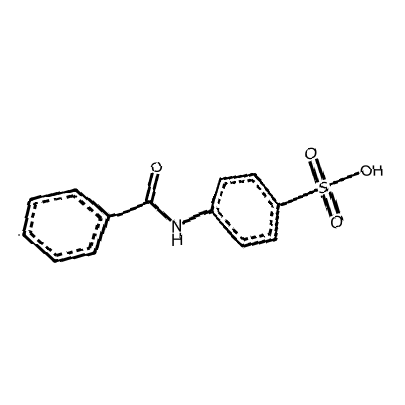 O=C(Nc1ccc(S(=O)(=O)O)cc1)c1cc[c]cc1